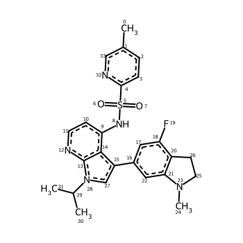 Cc1ccc(S(=O)(=O)Nc2ccnc3c2c(-c2cc(F)c4c(c2)N(C)CC4)cn3C(C)C)nc1